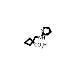 O=C(O)C1(CNc2ccccn2)CCC1